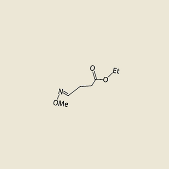 CCOC(=O)CCC=NOC